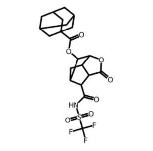 O=C(NS(=O)(=O)C(F)(F)F)C1C2CC3C(OC(=O)C31)C2OC(=O)C12CC3CC(CC(C3)C1)C2